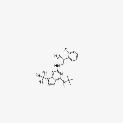 [2H]C([2H])([2H])n1ncc2c(NC(C)(C)C)nc(NCC(N)c3ccccc3F)nc21